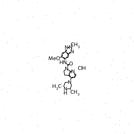 COc1cc2nn(C)nc2cc1NC(=O)N1CCc2c(N3C[C@@H](C)N[C@@H](C)C3)ccnc21.Cl